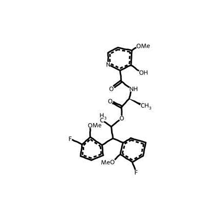 COc1ccnc(C(=O)N[C@@H](C)C(=O)OC(C)C(c2cccc(F)c2OC)c2cccc(F)c2OC)c1O